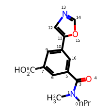 CCCN(C)C(=O)c1cc(C(=O)O)cc(-c2cnco2)c1